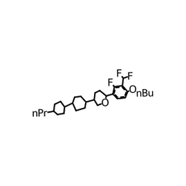 CCCCOc1ccc(C2CCC(C3CCC(C4CCC(CCC)CC4)CC3)CO2)c(F)c1C(F)F